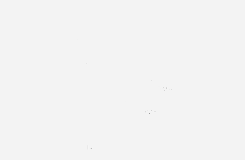 COC(=O)c1cc(OC2CCCCO2)c2ccc(Br)cc2c1OC